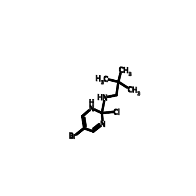 CC(C)(C)CNC1(Cl)N=CC(Br)=CN1